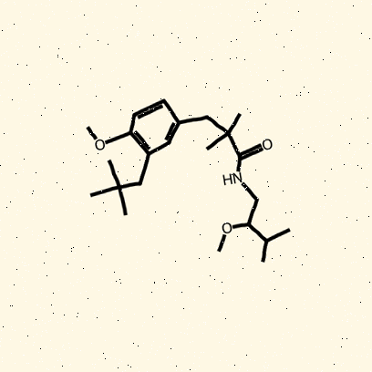 COc1ccc(CC(C)(C)C(=O)NCC(OC)C(C)C)cc1CC(C)(C)C